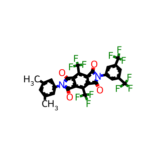 Cc1cc(C)cc(-n2c(=O)c3c(C(F)(F)F)c4c(=O)n(-c5cc(C(F)(F)F)cc(C(F)(F)F)c5)c(=O)c4c(C(F)(F)F)c3c2=O)c1